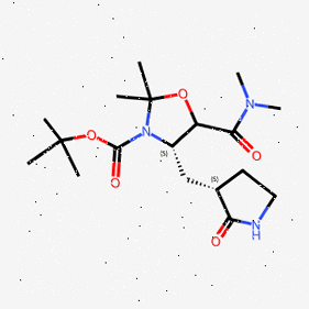 CN(C)C(=O)C1OC(C)(C)N(C(=O)OC(C)(C)C)[C@H]1C[C@@H]1CCNC1=O